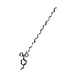 C=Cc1ccc(C(=O)OCCCCCCCCCCCCCCCCCCCCCC)cc1